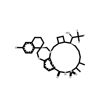 CC1CCC[C@H]([C@@H](O)C(F)(F)F)C2CCC2CN2C[C@@]3(CCCc4cc(Cl)ccc43)COc3ccc(cc32)C(=O)NS(=O)(=O)C1C